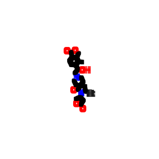 CCC1CC2(CCN(CC(O)c3ccc4c(c3C)COC4=O)CC2)C(=O)N1C1=CC(=O)OC1